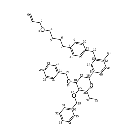 C=CCOCCCCc1ccc(Cc2cc(C3CC(OCc4ccccc4)[C@H](OCc4ccccc4)C(CC)O3)ccc2C)cc1